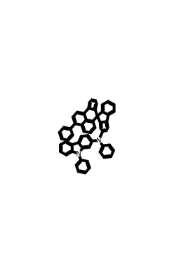 c1ccc(-c2ccc3c4c(cccc24)C2(c4ccccc4-c4ccc(N(c5ccccc5)c5ccc6c7ccccc7n(-c7ccccc7)c6c5)cc42)c2ccccc2-3)cc1